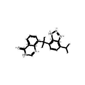 CC(C)c1ccc(C(C)(C)c2cccc3c(=O)[nH]cnc23)c2[nH]nnc12